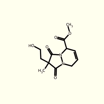 COC(=O)C1C=CCN2C(=O)C(C)(CCO)C(=O)N12